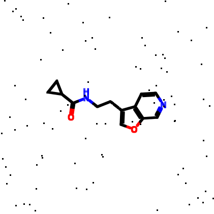 O=C(NCCc1coc2cnccc12)C1CC1